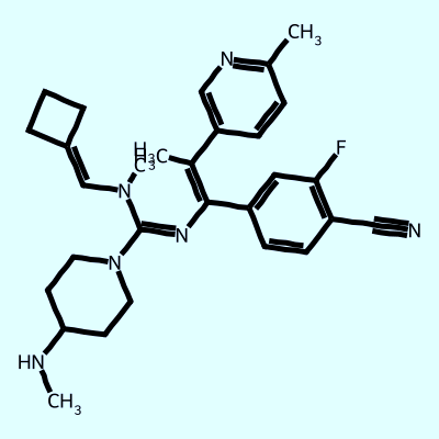 CNC1CCN(/C(=N/C(=C(\C)c2ccc(C)nc2)c2ccc(C#N)c(F)c2)N(C)C=C2CCC2)CC1